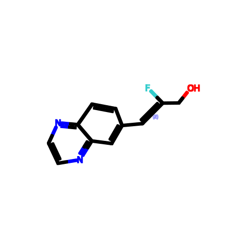 OC/C(F)=C/c1ccc2nccnc2c1